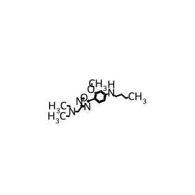 CCCCNc1ccc(-c2nc(CN(CC)CC)no2)c(OC)c1